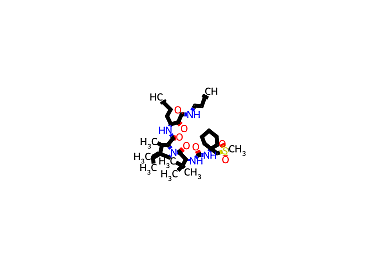 C#CCCNC(=O)C(=O)C(CCC#C)NC(=O)C1C(C)C(=C(C)C)CN1C(=O)[C@@H](NC(=O)NC1(CS(C)(=O)=O)CCCCC1)C(C)(C)C